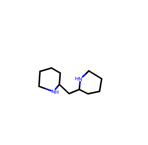 C1CCC(CC2CCCCN2)NC1